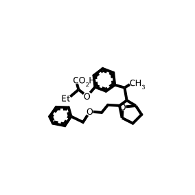 CCC(Oc1cccc(C(C)C2C3CCC(O3)C2CCOCc2ccccc2)c1)C(=O)O